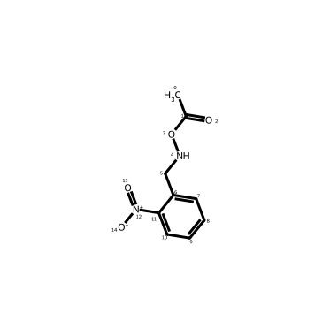 CC(=O)ONCc1ccccc1[N+](=O)[O-]